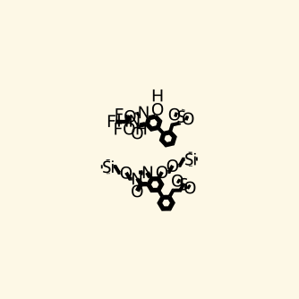 CS(=O)(=O)CCc1ccccc1-c1cc(O)c2nc[nH]c(=O)c2c1.C[Si](C)(C)CCOCOc1cc(-c2ccccc2CCS(C)(=O)=O)cc2c(=O)n(COCC[Si](C)(C)C)cnc12.O=C(O)C(F)(F)F